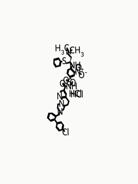 CN(C)CC[C@H](CSc1ccccc1)Nc1ccc(S(=O)(=O)NC(=O)c2cnc3c(c2)CCC2CN(Cc4ccccc4-c4ccc(Cl)cc4)CCN32)cc1[N+](=O)[O-].Cl.Cl